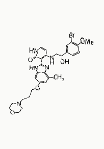 COc1ccc([C@H](O)CNc2cc[nH]c(=O)c2-c2nc3c(C)cc(OCCCN4CCOCC4)cc3[nH]2)cc1Br